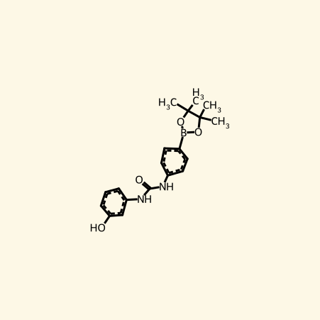 CC1(C)OB(c2ccc(NC(=O)Nc3cccc(O)c3)cc2)OC1(C)C